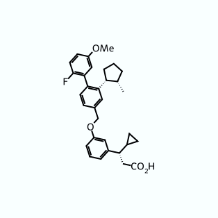 COc1ccc(F)c(-c2ccc(COc3cccc([C@@H](CC(=O)O)C4CC4)c3)cc2[C@@H]2CCC[C@@H]2C)c1